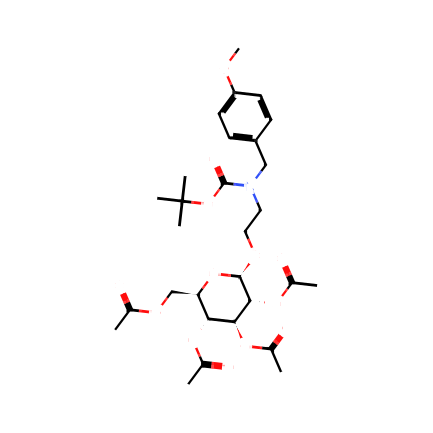 COc1ccc(CN(CCO[C@@H]2O[C@H](COC(C)=O)[C@@H](OC(C)=O)[C@H](OC(C)=O)[C@H]2OC(C)=O)C(=O)OC(C)(C)C)cc1